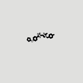 Cc1ccc(Cn2cc(-c3nc(-c4ccc(OC5CCCC5)cc4)no3)nc2C)cc1